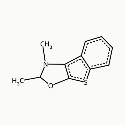 CC1Oc2sc3ccccc3c2N1C